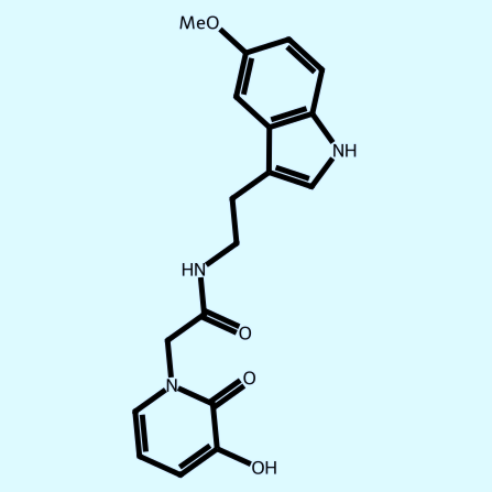 COc1ccc2[nH]cc(CCNC(=O)Cn3cccc(O)c3=O)c2c1